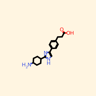 NC1CCC(c2nc(-c3ccc(CCC(=O)O)cc3)c[nH]2)CC1